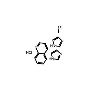 CCC.Cl.c1c[nH]cn1.c1c[nH]cn1.c1ccc2ncccc2c1